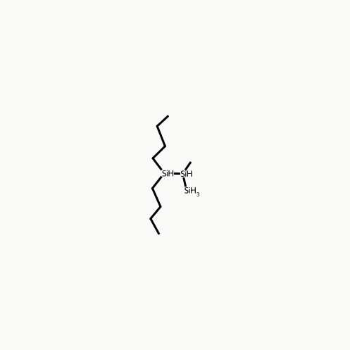 CCCC[SiH](CCCC)[SiH](C)[SiH3]